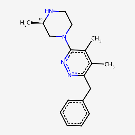 Cc1c(Cc2ccccc2)nnc(N2CCN[C@H](C)C2)c1C